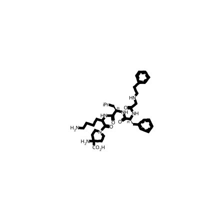 CC(C)C[C@@H](NC(=O)[C@@H](Cc1ccccc1)NC(=O)CNCCc1ccccc1)C(=O)NC(CCCCN)C(=O)N1CCC(N)(C(=O)O)CC1